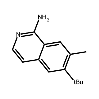 Cc1cc2c(N)nccc2cc1C(C)(C)C